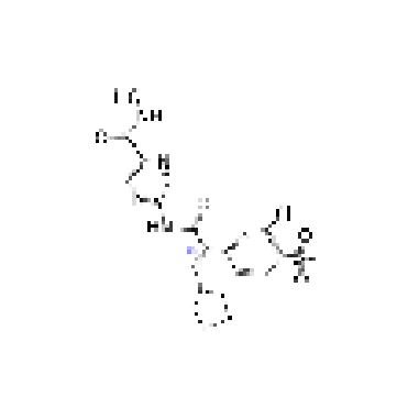 CS(=O)(=O)c1ccc(/C(=C\C2CCCC2)C(=O)Nc2cnc(C(=O)NO)cn2)cc1Cl